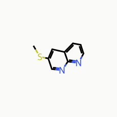 CSc1cnc2ncccc2c1